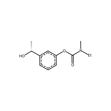 CCN(C)C(=O)Oc1cccc([C@@H](C)O)c1